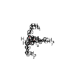 CC(C)Oc1ccc(C(=O)Oc2ccc3cc(C(=O)c4c(C(C)C)c(C(=O)c5ccc6cc(OC(=O)c7ccc(OC(C)C)cc7)ccc6c5)c(C(C)C)c(C(=O)c5ccc6ccc(OC(=O)c7ccc(OC(C)C)cc7)cc6c5)c4C(C)C)ccc3c2)cc1